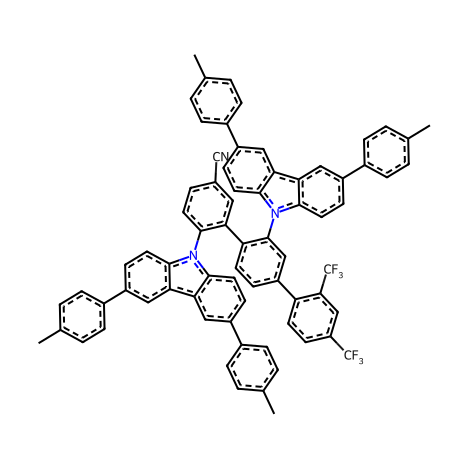 Cc1ccc(-c2ccc3c(c2)c2cc(-c4ccc(C)cc4)ccc2n3-c2ccc(C#N)cc2-c2ccc(-c3ccc(C(F)(F)F)cc3C(F)(F)F)cc2-n2c3ccc(-c4ccc(C)cc4)cc3c3cc(-c4ccc(C)cc4)ccc32)cc1